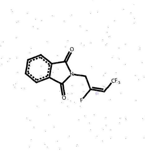 O=C1c2ccccc2C(=O)N1C/C(F)=C\C(F)(F)F